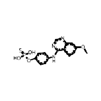 COc1ccc2c(Nc3ccc(OP(O)(O)=S)cc3)ncnc2c1